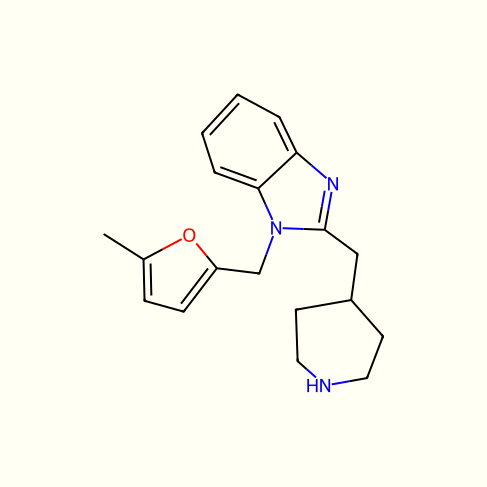 Cc1ccc(Cn2c(CC3CCNCC3)nc3ccccc32)o1